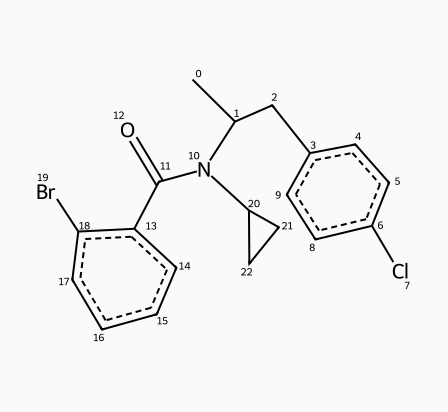 CC(Cc1ccc(Cl)cc1)N(C(=O)c1ccccc1Br)C1CC1